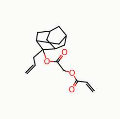 C=CCC1(OC(=O)COC(=O)C=C)C2CC3CC(C2)CC1C3